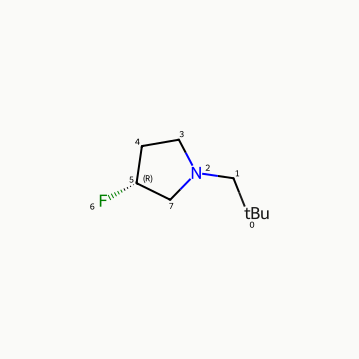 CC(C)(C)CN1CC[C@@H](F)C1